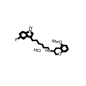 COc1cccc2c1CC(NCCCCCCc1c[nH]c3ccc(F)cc13)CO2.Cl